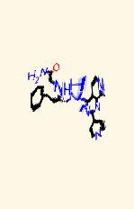 NC(=O)CN[C@H](CNc1nc(-c2ccncc2)nc2cnccc12)Cc1ccccc1